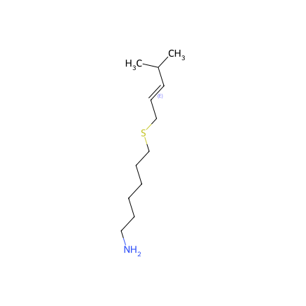 CC(C)/C=C/CSCCCCCCN